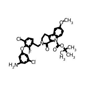 COc1ccc2c(c1)c1c(n2C(=O)OC(C)(C)C)C(=O)N(Cc2ccc(Cl)c(Oc3cc(N)cc(Cl)c3)c2F)CC1